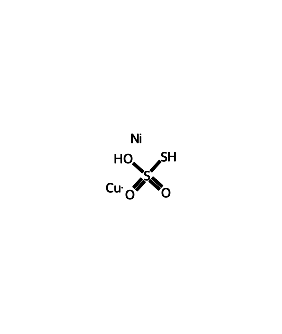 O=S(=O)(O)S.[Cu].[Ni]